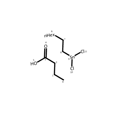 CCCC(=O)O.CCCCCCC[CH2][Sn]([Cl])[Cl]